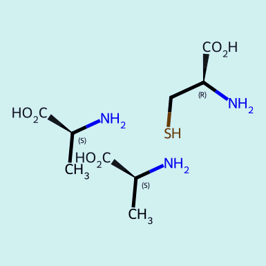 C[C@H](N)C(=O)O.C[C@H](N)C(=O)O.N[C@@H](CS)C(=O)O